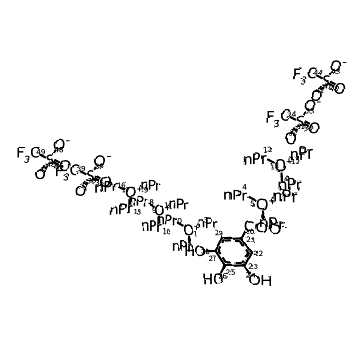 CCC[O+](CCC)CCC.CCC[O+](CCC)CCC.CCC[O+](CCC)CCC.CCC[O+](CCC)CCC.CCC[O+](CCC)CCC.O=C([O-])c1cc(O)c(O)c(O)c1.O=S(=O)([O-])C(F)(F)F.O=S(=O)([O-])C(F)(F)F.O=S(=O)([O-])C(F)(F)F.O=S(=O)([O-])C(F)(F)F